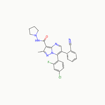 Cc1nn2c(-c3ccc(Cl)cc3F)c(-c3ccccc3C#N)cnc2c1C(=O)NN1CCCC1